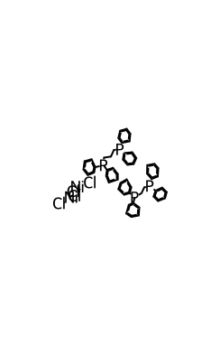 [Cl][Ni][Cl].[Cl][Ni][Cl].c1ccc(P(CCCP(c2ccccc2)c2ccccc2)c2ccccc2)cc1.c1ccc(P(CCP(c2ccccc2)c2ccccc2)c2ccccc2)cc1